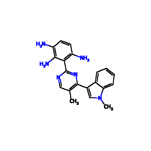 Cc1cnc(-c2c(N)ccc(N)c2N)nc1-c1cn(C)c2ccccc12